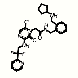 O=C(Cn1c(Cl)cnc(NCC(F)(F)c2ccccn2)c1=O)NCc1ccccc1CNC1CCCC1